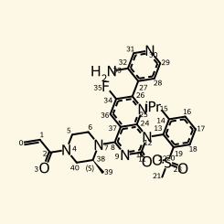 C=CC(=O)N1CCN(c2nc(=O)n(-c3c(C(C)C)cccc3S(C)(=O)=O)c3nc(-c4ccncc4N)c(F)cc23)[C@@H](C)C1